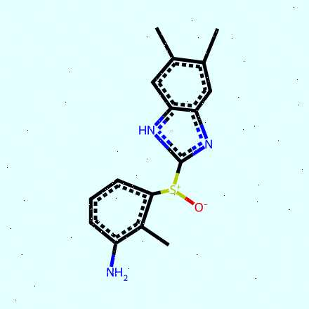 Cc1cc2nc([S+]([O-])c3cccc(N)c3C)[nH]c2cc1C